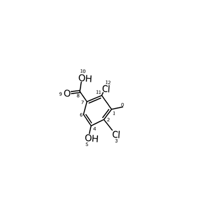 Cc1c(Cl)c(O)cc(C(=O)O)c1Cl